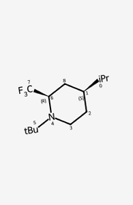 CC(C)[C@H]1CCN(C(C)(C)C)[C@@H](C(F)(F)F)C1